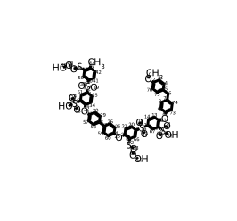 COc1ccc(Cc2ccc(Oc3ccc(S(=O)(=O)c4ccc(Oc5ccc(-c6ccc(Oc7ccc(S(=O)(=O)c8ccc(C)c(SOOO)c8)cc7S(=O)(=O)O)cc6)cc5)c(SOOO)c4)cc3S(=O)(=O)O)cc2)cc1